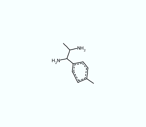 Cc1ccc(C(N)C(C)N)cc1